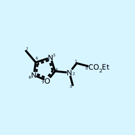 CCOC(=O)CN(C)c1nc(C)no1